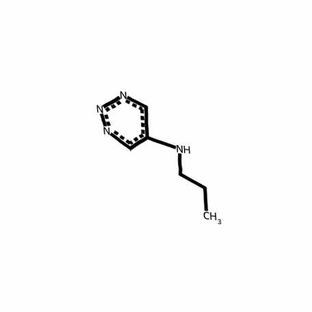 CCCNc1[c]nnnc1